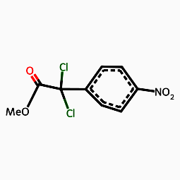 COC(=O)C(Cl)(Cl)c1ccc([N+](=O)[O-])cc1